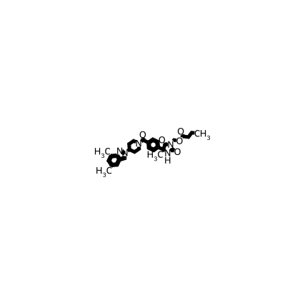 CCCC(=O)OCN1C(=O)N[C@](C)(c2ccc(C(=O)N3CCC(n4cc5cc(C)cc(C)c5n4)CC3)cc2)C1=O